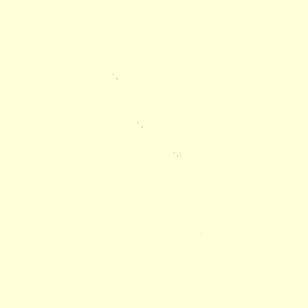 NCc1csc(NS(=O)(=O)C2CC2)n1